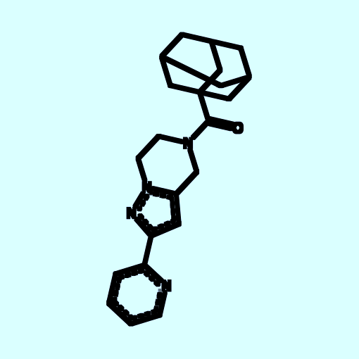 O=C(N1CCn2nc(-c3ccccn3)cc2C1)C12CC3CC(CC(C3)C1)C2